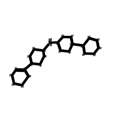 C1=C(C2CCC(NC3CCC(C4CCCCC4)CC3)CC2)CCCC1